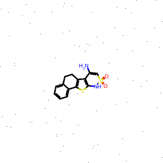 NC1=CS(=O)(=O)Nc2sc3c(c21)CCc1ccccc1-3